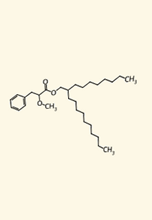 CCCCCCCCCCC(CCCCCCCC)COC(=O)C(Cc1ccccc1)OC